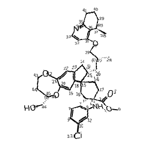 COC(=O)[C@]1(Nc2cccc(Cl)c2)CC[C@@]2(CC1)c1cc3c(cc1C[C@@H]2C[C@@H](C)COc1ccnc2c1[C@H](C)CCC2)OCC[C@@H](CO)O3